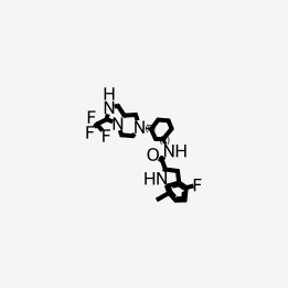 Cc1ccc(F)c2c1NC(C(=O)N[C@@H]1CCC[C@@H](N3CCN4C(CNC4C(F)(F)F)C3)C1)C2